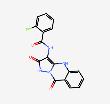 O=C(Nc1c(=O)[nH]n2c(=O)c3ccccc3[nH]c12)c1ccccc1F